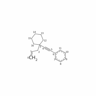 C=CCC1(C#Cc2ccccc2)CCCCC1